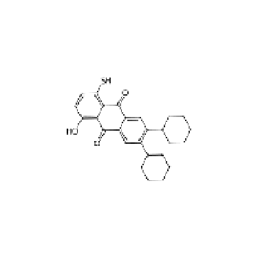 O=C1c2cc(C3CCCCC3)c(C3CCCCC3)cc2C(=O)c2c(S)ccc(O)c21